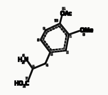 COc1cc(CC(N)C(=O)O)ccc1OC(C)=O